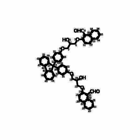 O=Cc1c(OCC(O)COc2ccc(C3(c4ccc(OCC(O)COc5ccc6ccccc6c5C=O)cc4)c4ccccc4-c4ccccc43)cc2)ccc2ccccc12